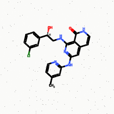 Cc1ccnc(Nc2cc3cc[nH]c(=O)c3c(NC[C@@H](O)c3cccc(Cl)c3)n2)c1